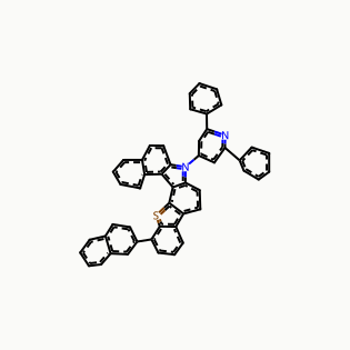 c1ccc(-c2cc(-n3c4ccc5ccccc5c4c4c5sc6c(-c7ccc8ccccc8c7)cccc6c5ccc43)cc(-c3ccccc3)n2)cc1